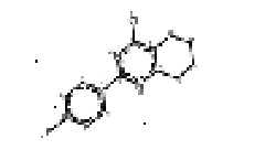 Fc1ccc(-c2nc(Cl)c3c(n2)CCCC3)cc1